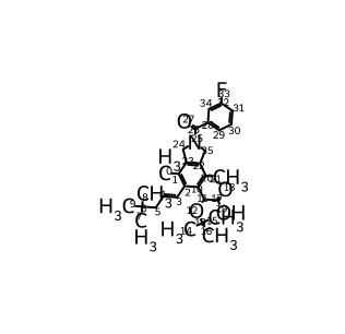 Cc1c(/C=C/CC(C)(C)C)c(C(OC(C)(C)C)C(=O)O)c(C)c2c1CN(C(=O)c1cccc(F)c1)C2